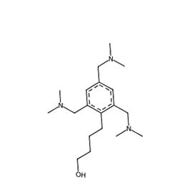 CN(C)Cc1cc(CN(C)C)c(CCCCO)c(CN(C)C)c1